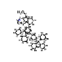 C=Cc1c(/C=C\C)oc2c(-c3nc(-c4ccccc4)nc(-c4cc5c(cc4-c4ccccc4)C(c4ccccc4)(c4ccccc4)c4ccccc4-5)n3)cccc12